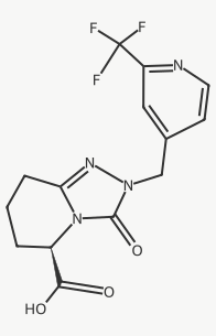 O=C(O)[C@H]1CCCc2nn(Cc3ccnc(C(F)(F)F)c3)c(=O)n21